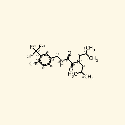 CC(C)CN(CC(C)C)C(=O)C(=O)NCc1ccc(Cl)c(C(F)(F)F)c1